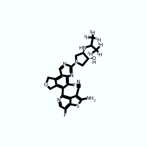 [2H]C([2H])([2H])C(N[C@@H]1CN(c2ncc3c4c(c(-c5ncc(F)c6sc(N)c(C#N)c56)c(F)c3n2)COC4)C[C@H]1O)C([2H])([2H])[2H]